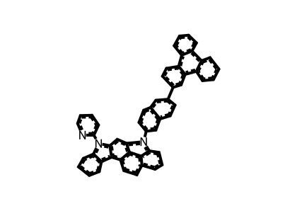 c1ccc(-n2c3ccccc3c3c4ccc5cccc6c5c4c(cc32)n6-c2ccc3cc(-c4ccc5c6ccccc6c6ccccc6c5c4)ccc3c2)nc1